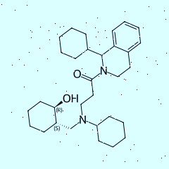 O=C(CCN(C[C@@H]1CCCC[C@H]1O)C1CCCCC1)N1CCc2ccccc2C1C1CCCCC1